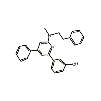 CN(CCc1ccccc1)c1cc(-c2ccccc2)cc(-c2cccc(O)c2)n1